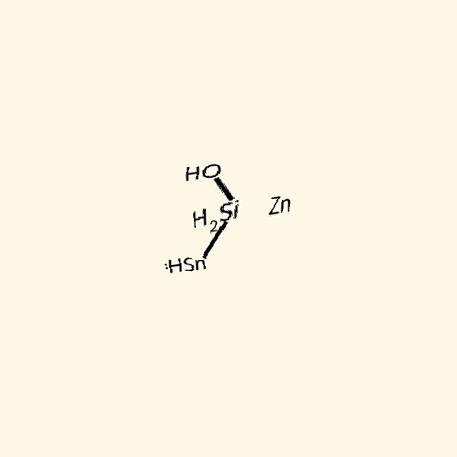 O[SiH2][SnH].[Zn]